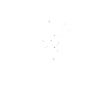 CCCCOCC1OC(CO)C(OCCCC)C(OCCCC)C1OC1OC(COCCCC)C(OCCCC)C(OCCCC)C1OCCCC